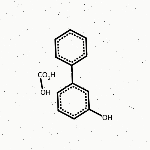 O=C(O)O.Oc1cccc(-c2ccccc2)c1